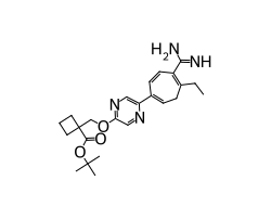 CCC1=C(C(=N)N)C=CC(c2cnc(OCC3(C(=O)OC(C)(C)C)CCC3)cn2)=CC1